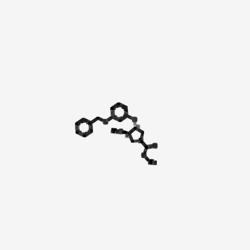 CO[C@@H]1CN(C(=O)OC(C)(C)C)C[C@H]1Oc1cccc(OCc2ccccc2)c1